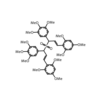 COc1cc(OC)c(C=CC(c2cc(OC)c(OC)c(OC)c2)S(=O)(=O)C(C=Cc2c(OC)cc(OC)cc2OC)c2cc(OC)c(OC)c(OC)c2)c(OC)c1